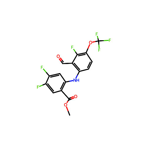 COC(=O)c1cc(F)c(F)cc1Nc1ccc(OC(F)(F)F)c(F)c1C=O